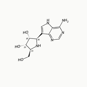 Nc1ncnc2c([C@H]3N[C@@H](CO)[C@H](O)[C@@H]3O)c[nH]c12